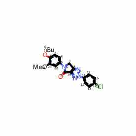 CCCCOc1ccc(N2Cc3nn(-c4ccc(Cl)cc4)nc3C2=O)cc1OC